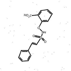 O=C(O)c1ccccc1ONS(=O)(=O)C=Cc1ccccc1